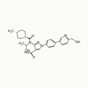 CC(C)N(c1nn(-c2ccc(-c3ccc(CO)nc3)cc2)cc1C(=O)O)C(=O)[C@H]1CC[C@H](C)CC1